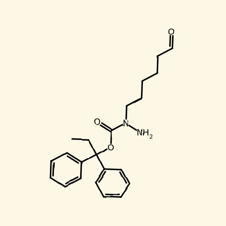 CCC(OC(=O)N(N)CCCCCC=O)(c1ccccc1)c1ccccc1